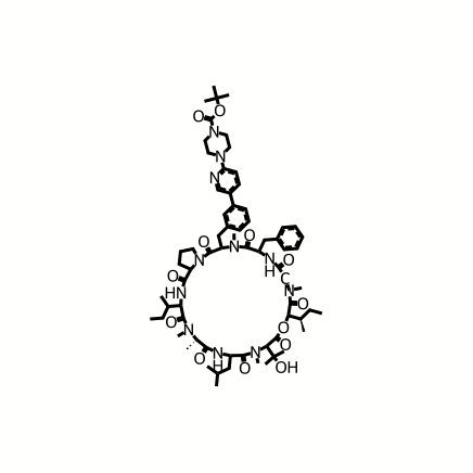 CCC(C)C1NC(=O)C2CCCN2C(=O)C(Cc2cccc(-c3ccc(N4CCN(C(=O)OC(C)(C)C)CC4)nc3)c2)N(C)C(=O)C(Cc2ccccc2)NC(=O)CN(C)C(=O)C([C@H](C)CC)OC(=O)C(C(C)(C)O)N(C)C(=O)C(CC(C)C)NC(=O)[C@H](C)N(C)C1=O